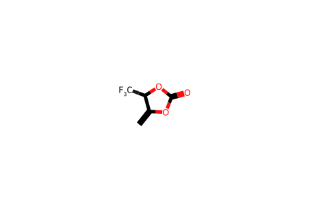 C=C1OC(=O)OC1C(F)(F)F